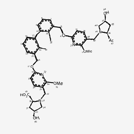 COc1nc(OCc2cccc(-c3cccc(COc4ccc(CN5C[C@@H](O)C[C@H]5C(=O)O)c(OC)n4)c3C)c2C)ccc1CN1C[C@@H](O)C[C@H]1C(C)=O